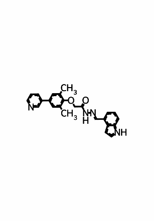 Cc1cc(-c2cccnc2)cc(C)c1OCC(=O)N/N=C/c1cccc2[nH]ccc12